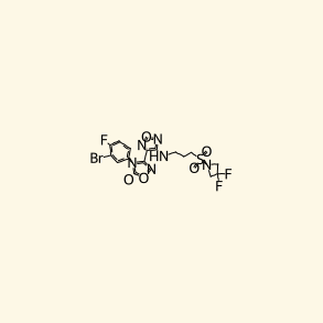 O=c1onc(-c2nonc2NCCCS(=O)(=O)N2CC(F)(F)C2)n1-c1ccc(F)c(Br)c1